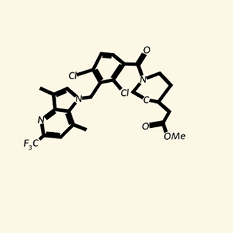 COC(=O)CC1CCN(C(=O)c2ccc(Cl)c(Cn3cc(C)c4nc(C(F)(F)F)cc(C)c43)c2Cl)CC1